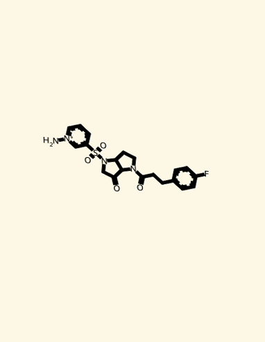 N[n+]1cccc(S(=O)(=O)N2CC(=O)C3C2CCN3C(=O)[CH]Cc2ccc(F)cc2)c1